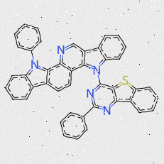 c1ccc(-c2nc(-n3c4ccccc4c4cnc5c(ccc6c7ccccc7n(-c7ccccc7)c65)c43)c3sc4ccccc4c3n2)cc1